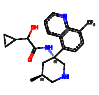 C[C@@H]1CNC[C@](NC(=O)C(O)C2CC2)(c2ccc(C(F)(F)F)c3ncccc23)C1